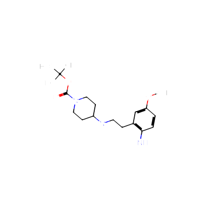 COc1ccc(N)c(CCNC2CCN(C(=O)OC(C)(C)C)CC2)c1